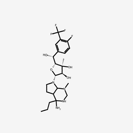 CCCC1(N)NCN(C)C2C1CCN2[C@@H]1O[C@H]([C@H](O)c2ccc(F)c(C(F)(F)F)c2)[C@@](C)(O)[C@H]1O